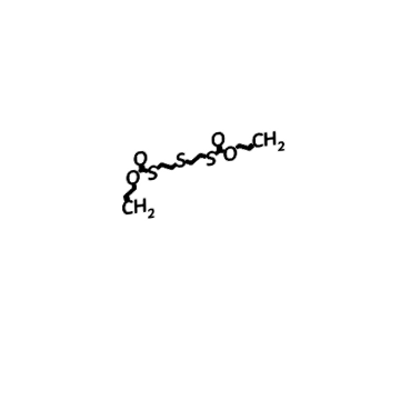 C=CCOC(=O)SCCSCCSC(=O)OCC=C